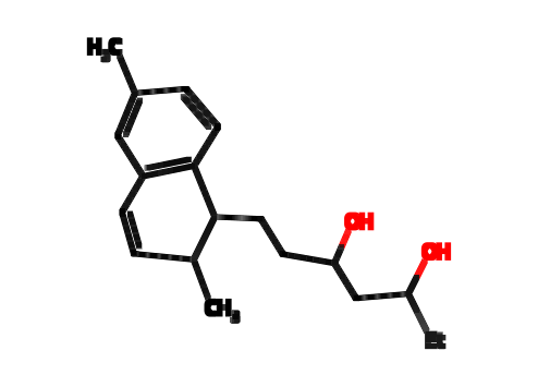 CCC(O)CC(O)CCC1c2ccc(C)cc2C=CC1C